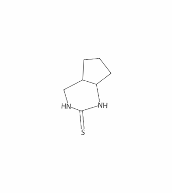 S=C1NCC2CCCC2N1